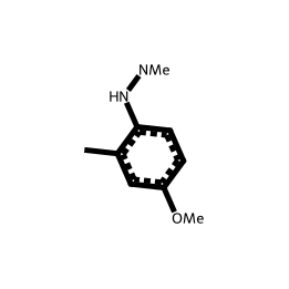 CNNc1ccc(OC)cc1C